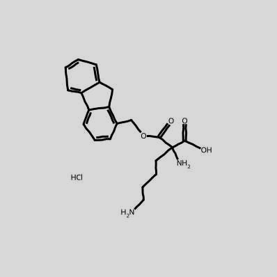 Cl.NCCCCC(N)(C(=O)O)C(=O)OCc1cccc2c1Cc1ccccc1-2